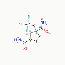 NC(=O)C1CCC(CC(F)(F)F)(C(N)=O)C1